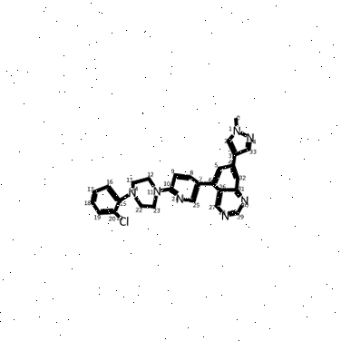 Cn1cc(-c2cc(-c3ccc(N4CCN(c5ccccc5Cl)CC4)nc3)c3cncnc3c2)cn1